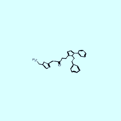 CCC1=CC=C(CC(=O)CCC2=CC=C(c3ccccc3)C2CCc2ccccc2)C1